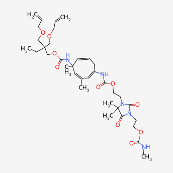 C=CCOCC(CC)(COCC=C)COC(=O)NC1(C)/C=C\C/C(NC(=O)OCCN2C(=O)N(CCOC(=O)NC)C(=O)C2(C)C)=C\C(C)=C/1